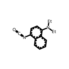 CCN(CC)c1ccc(N=C=O)c2ccccc12